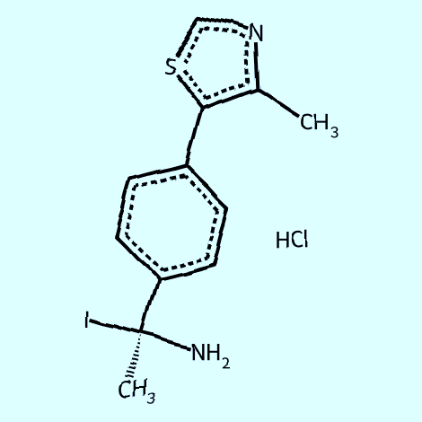 Cc1ncsc1-c1ccc([C@@](C)(N)I)cc1.Cl